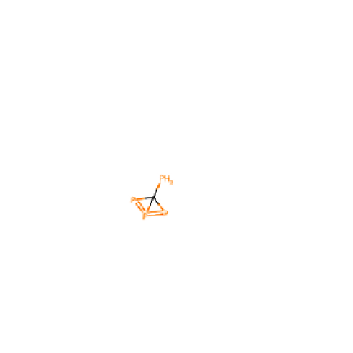 PC12P=P1=P2